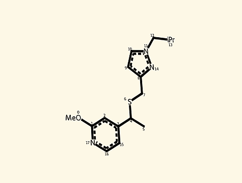 COc1cc(C(C)SCc2ccn(CC(C)C)n2)ccn1